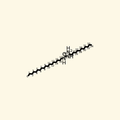 CCCCCCCCCCCCCCCCCCNC(=O)NC(N)CCCCCCCCCCC